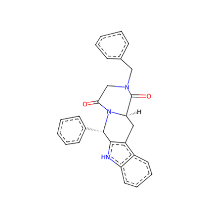 O=C1[C@H]2Cc3c([nH]c4ccccc34)[C@H](c3ccccc3)N2C(=O)CN1Cc1ccccc1